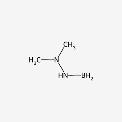 BNN(C)C